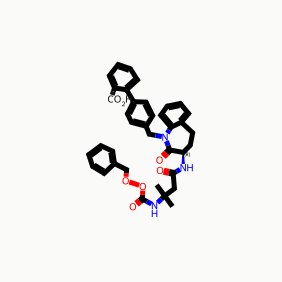 CC(C)(CC(=O)N[C@@H]1CCc2ccccc2N(Cc2ccc(-c3ccccc3C(=O)O)cc2)C1=O)NC(=O)OOCc1ccccc1